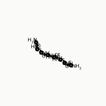 Nc1ccc(C(=O)Nc2cccc(Sc3cccc(NC(=O)c4ccc(NNc5ccc(C(=O)Nc6ccc(Sc7cccc(NC(=O)c8ccc(N)cc8C(F)(F)F)c7)cc6)c(C(F)(F)F)c5)cc4)c3)c2)cc1